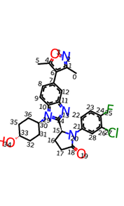 Cc1noc(C)c1-c1ccc2c(c1)nc([C@@H]1CCC(=O)N1c1ccc(F)c(Cl)c1)n2[C@H]1CC[C@H](O)CC1